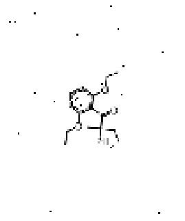 CCOc1cccc(OCC)c1C(=O)C(C)(P)CC